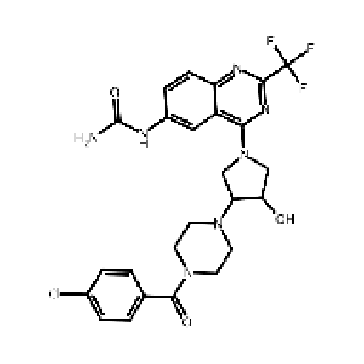 NC(=O)Nc1ccc2nc(C(F)(F)F)nc(N3CC(O)C(N4CCN(C(=O)c5ccc(Cl)cc5)CC4)C3)c2c1